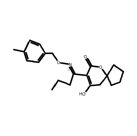 CCC/C(=N\OCc1ccc(C)cc1)C1=C(O)CC2(CCCC2)OC1=O